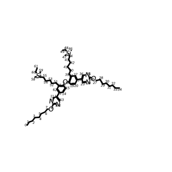 CCCCCCCCOc1ncc(-c2ccc(Oc3ccc(-c4cnc(OCCCCCCCC)nc4)cc3CCCCCC[Si](C)(C)CC)c(CCCCCC[Si](C)(C)CC)c2)cn1